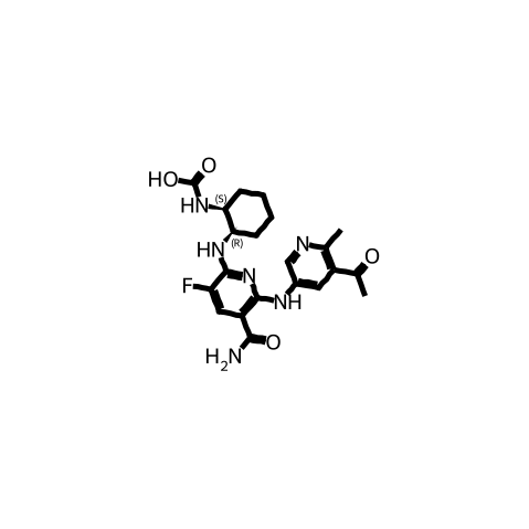 CC(=O)c1cc(Nc2nc(N[C@@H]3CCCC[C@@H]3NC(=O)O)c(F)cc2C(N)=O)cnc1C